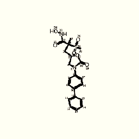 CC(CC1CN(c2ccc(-c3ccccc3)cc2)C(=O)O1)(C(=O)NO)S(C)(=O)=O